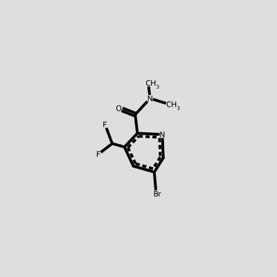 CN(C)C(=O)c1ncc(Br)cc1C(F)F